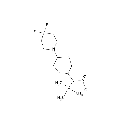 CC(C)(C)N(C(=O)O)C1CCC(N2CCC(F)(F)CC2)CC1